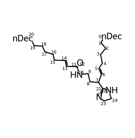 CCCCCCCCCCCCCCC=CC(CCNC(=O)C=CCCCCCCCCCCCCCCC)C1=NCCN1